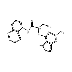 CC[C@@H](Sc1nc(N)nc2nc[nH]c12)C(=O)Nc1cccc2cnccc12